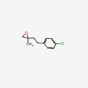 CC1([CH]Cc2ccc(Cl)cc2)CO1